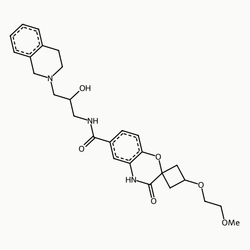 COCCOC1CC2(C1)Oc1ccc(C(=O)NCC(O)CN3CCc4ccccc4C3)cc1NC2=O